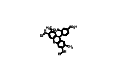 CCNc1cc2c(cc1C)C(c1ccc(S(=O)(=O)O)cc1S(=O)(=O)O)c1cc(C)c(NCC)cc1O2